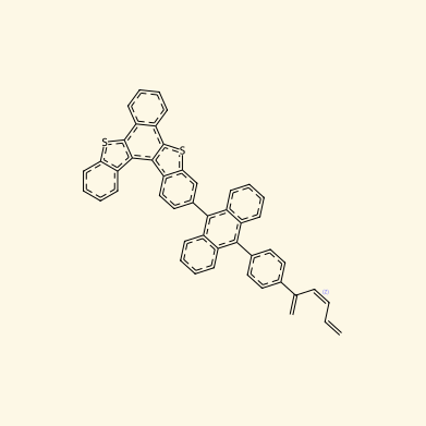 C=C/C=C\C(=C)c1ccc(-c2c3ccccc3c(-c3ccc4c(c3)sc3c5ccccc5c5sc6ccccc6c5c43)c3ccccc23)cc1